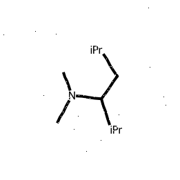 CC(C)CC(C(C)C)N(C)C